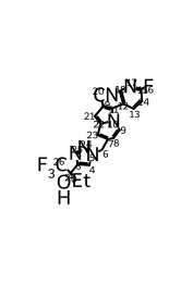 CCC(O)(c1cn(Cc2ccn3c(-c4ccc(F)nc4)c(C#N)cc3c2)nn1)C(F)(F)F